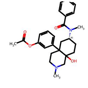 CC(=O)Oc1cccc(C23CCN(C)CC2(O)CC[C@@H](N(C)C(=O)c2ccccc2)C3)c1